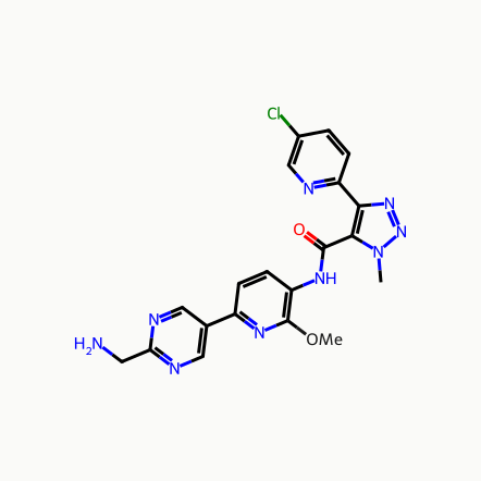 COc1nc(-c2cnc(CN)nc2)ccc1NC(=O)c1c(-c2ccc(Cl)cn2)nnn1C